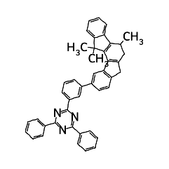 CC1CC2=C(C3=C1c1ccccc1C3(C)C)c1cc(-c3cccc(-c4nc(-c5ccccc5)nc(-c5ccccc5)n4)c3)ccc1C2